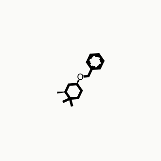 C[C@H]1C[C@@H](OCc2ccccc2)CCC1(C)C